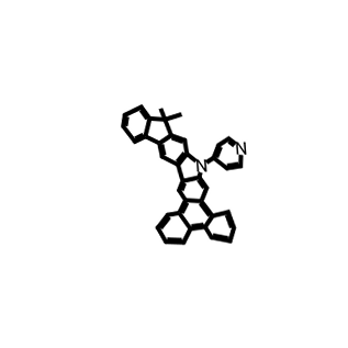 CC1(C)c2ccccc2-c2cc3c4cc5c6ccccc6c6ccccc6c5cc4n(-c4ccncc4)c3cc21